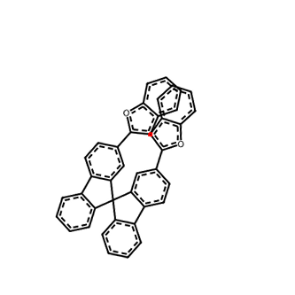 c1ccc2c(c1)-c1ccc(-c3cc4ccccc4o3)cc1C21c2ccccc2-c2ccc(-c3cc4ccccc4o3)cc21